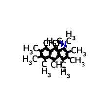 C=c1c2c(C)c(C)c(C)c(C)c2c(=C)c2c(N(C)C)c(C)c(C)c(C)c12